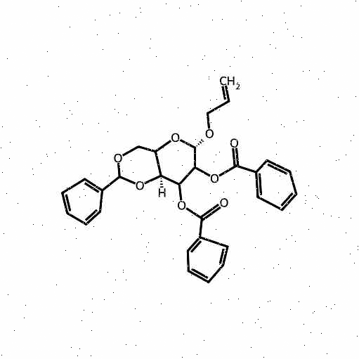 C=CCO[C@H]1OC2COC(c3ccccc3)O[C@@H]2C(OC(=O)c2ccccc2)C1OC(=O)c1ccccc1